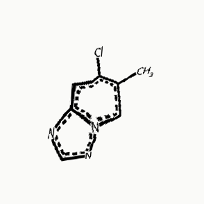 Cc1cn2ncnc2cc1Cl